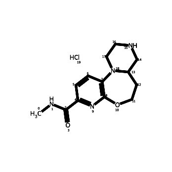 CNC(=O)c1ccc2c(n1)OCCC1CNCCN21.Cl